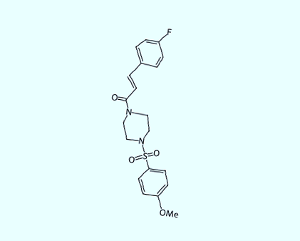 COc1ccc(S(=O)(=O)N2CCN(C(=O)C=Cc3ccc(F)cc3)CC2)cc1